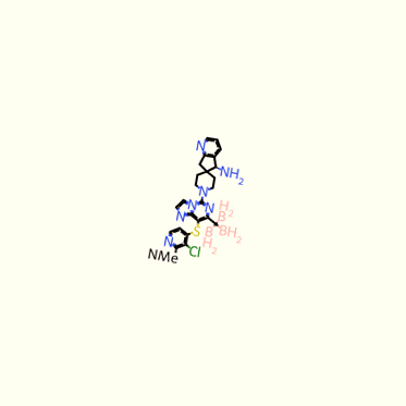 BC(B)(B)c1nc(N2CCC3(CC2)Cc2ncccc2[C@H]3N)n2ccnc2c1Sc1ccnc(NC)c1Cl